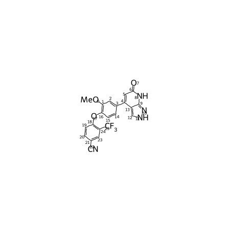 COc1cc(-c2cc(=O)[nH]c3n[nH]cc23)ccc1Oc1ccc(C#N)cc1C(F)(F)F